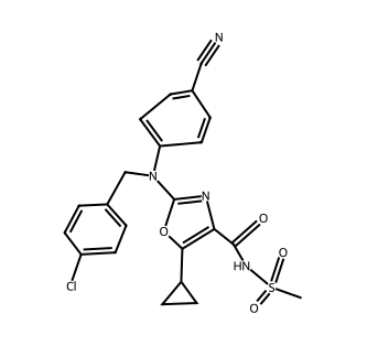 CS(=O)(=O)NC(=O)c1nc(N(Cc2ccc(Cl)cc2)c2ccc(C#N)cc2)oc1C1CC1